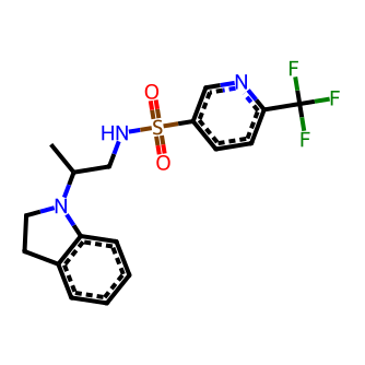 CC(CNS(=O)(=O)c1ccc(C(F)(F)F)nc1)N1CCc2ccccc21